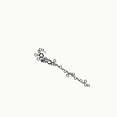 COc1ccc(S(=O)(=O)Nc2ccc(C(=O)NCCOCCOCC(=O)NCCOCCOCC(=O)O)cn2)c(Cl)c1Cl